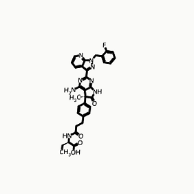 CC[C@@H](NC(=O)CCc1ccc([C@]2(C)C(=O)Nc3nc(-c4nn(Cc5ccccc5F)c5ncccc45)nc(N)c32)cc1)C(=O)O